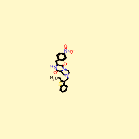 CCc1sc2ccccc2c1CN1CCN2C(=O)C(Cc3ccc([N+](=O)[O-])cc3)NC(=O)C2C1